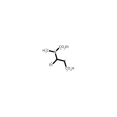 CCOC(=O)N(C)C(CC)CC(=O)O